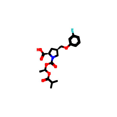 CC(C)C(=O)O[C@@H](C)OC(=O)N1C[C@@H](COc2cccc(F)c2)C[C@H]1C(=O)O